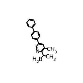 BC(C)c1ncc(-c2ccc(-c3ccccc3)cc2)cc1C